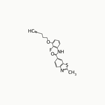 C#CCCCOc1cccc(NC(=O)c2ccc3nc(C)sc3c2)c1F